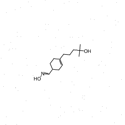 CC(C)(O)CCCC1=CCC(C=NO)CC1